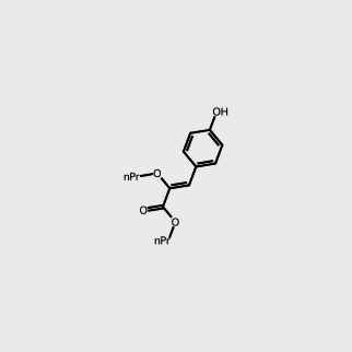 CCCOC(=O)C(=Cc1ccc(O)cc1)OCCC